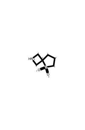 O=S1(=O)C[CH]CC12CNC2